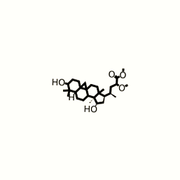 COC(=O)C(C[C@@H](C)[C@H]1C[C@H](O)[C@@]2(C)C3CC[C@H]4C(C)(C)C(O)CCC45CC35CCC12C)OC